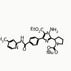 CCOC(=O)c1c(-c2ccc(C(=O)Nc3cc(C)ccn3)cc2)nc(C2CCCN2C(=O)OC(C)(C)C)n1N